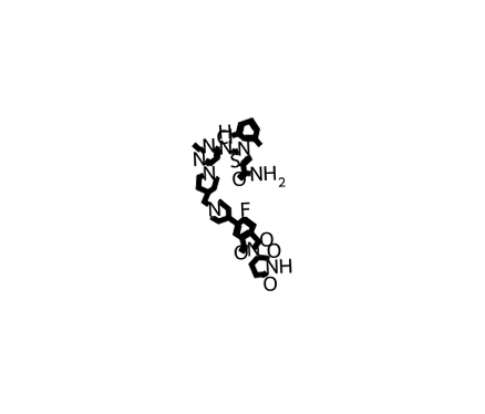 Cc1nc(NC2SC(C(N)=O)=CN2c2c(C)cccc2Cl)cc(N2CCC(CN3CCC(c4cc5c(cc4F)C(=O)N(C4CCC(=O)NC4=O)C5=O)CC3)CC2)n1